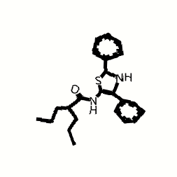 CCCC(CCC)C(=O)NC1=C(c2ccccc2)NC(c2ccccc2)S1